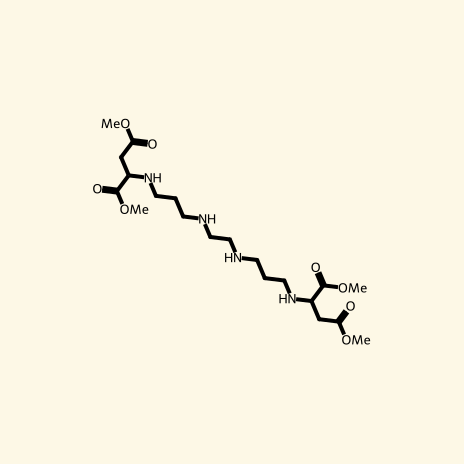 COC(=O)CC(NCCCNCCNCCCNC(CC(=O)OC)C(=O)OC)C(=O)OC